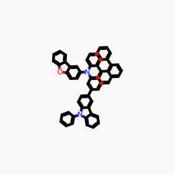 c1ccc(-c2cccc3cccc(-c4ccccc4N(c4cccc(-c5ccc6c(c5)c5ccccc5n6-c5ccccc5)c4)c4ccc5oc6ccccc6c5c4)c23)cc1